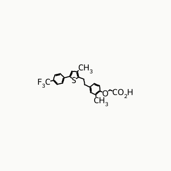 Cc1cc(CCc2sc(-c3ccc(C(F)(F)F)cc3)cc2C)ccc1OCC(=O)O